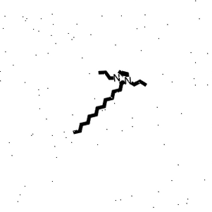 CCCCCCCCCCCCc1n(CCC)cc[n+]1CCC